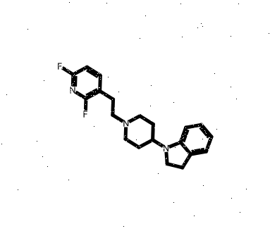 Fc1ccc(CCN2CCC(N3CCc4ccccc43)CC2)c(F)n1